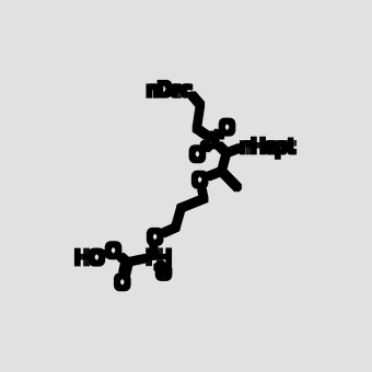 CCCCCCCCCCCCS(=O)(=O)C(CCCCCCC)C(C)OCCCO[PH](=O)C(=O)OO